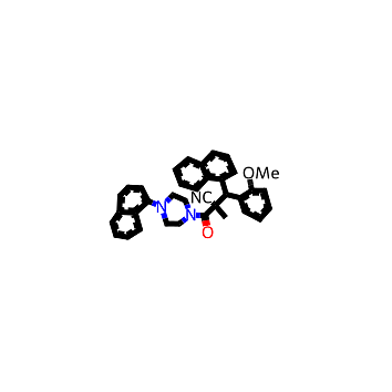 COc1ccccc1C(c1cccc2ccccc12)C(C)(C#N)C(=O)N1CCN(c2cccc3ccccc23)CC1